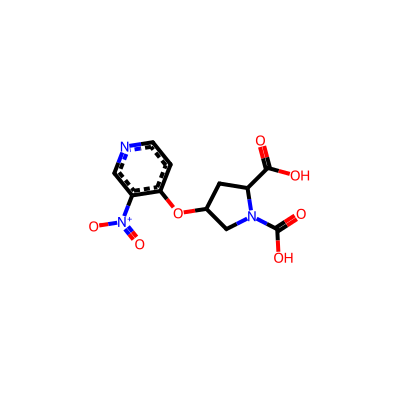 O=C(O)C1CC(Oc2ccncc2[N+](=O)[O-])CN1C(=O)O